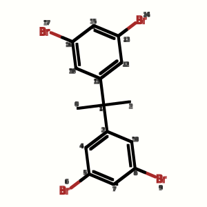 CC(C)(c1cc(Br)[c]c(Br)c1)c1cc(Br)[c]c(Br)c1